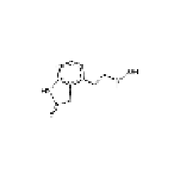 O=C1Cc2c(CCNO)cccc2N1